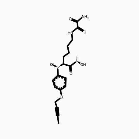 CC#CCOc1ccc([S+]([O-])C(CCCCNC(=O)C(N)=O)C(=O)NO)cc1